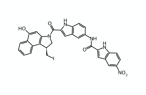 O=C(Nc1ccc2[nH]c(C(=O)N3C[C@@H](CI)c4c3cc(O)c3ccccc43)cc2c1)c1cc2cc([N+](=O)[O-])ccc2[nH]1